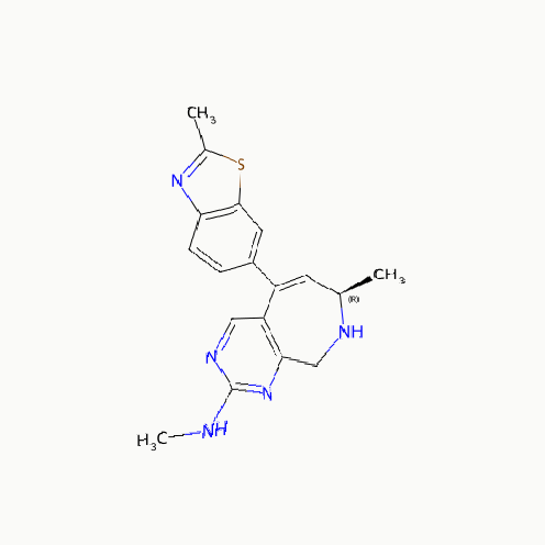 CNc1ncc2c(n1)CN[C@H](C)C=C2c1ccc2nc(C)sc2c1